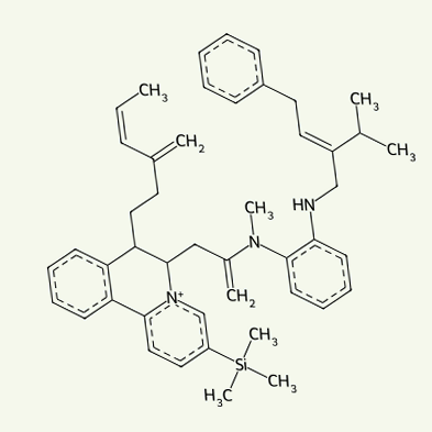 C=C(/C=C\C)CCC1c2ccccc2-c2ccc([Si](C)(C)C)c[n+]2C1CC(=C)N(C)c1ccccc1NCC(=CCc1ccccc1)C(C)C